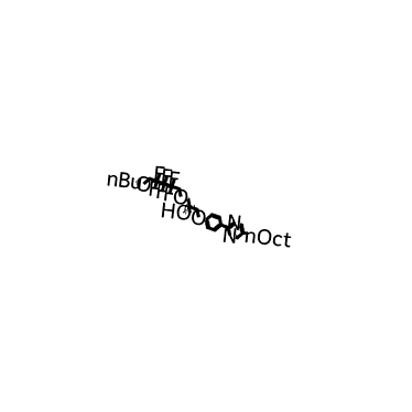 CCCCCCCCc1cnc(-c2ccc(OC[C@H](O)COCC(F)(F)C(F)(F)C(F)(F)COCCCC)cc2)nc1